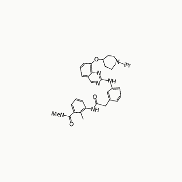 CNC(=O)c1cccc(NC(=O)Cc2cccc(Nc3ncc4cccc(OC5CCN(C(C)C)CC5)c4n3)c2)c1C